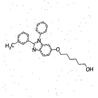 Cc1cccc(-c2nc3ccc(OCCCCCCO)cc3n2-c2ccccc2)c1